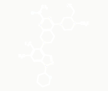 Cc1cc2c(cnn2C2CCCCO2)c(N2CCc3c(nc([S+](C)[O-])nc3N3CCN(C(=O)O)[C@@H](CC#N)C3)C2)c1C